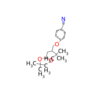 CC(C)(C)OC(=O)CC(COc1ccc(C#N)cc1)C(C)(C)C